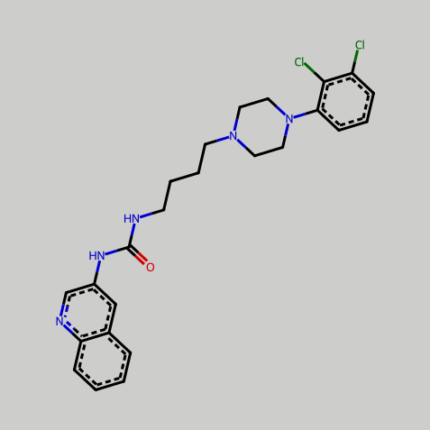 O=C(NCCCCN1CCN(c2cccc(Cl)c2Cl)CC1)Nc1cnc2ccccc2c1